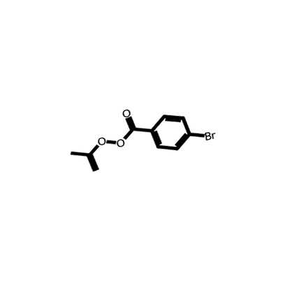 C=C(C)OOC(=O)c1ccc(Br)cc1